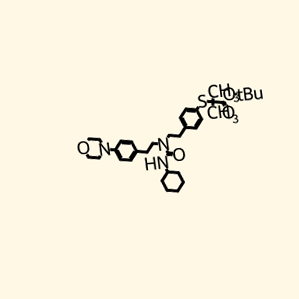 CC(C)(C)OC(=O)C(C)(C)Sc1ccc(CCN(CCc2ccc(N3CCOCC3)cc2)C(=O)NC2CCCCC2)cc1